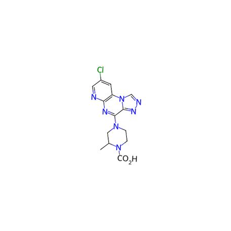 CC1CN(c2nc3ncc(Cl)cc3n3cnnc23)CCN1C(=O)O